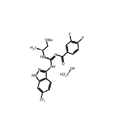 COC[C@H](C)N/C(=N/C(=O)c1ccc(F)c(F)c1)Nc1n[nH]c2cc(C(F)(F)F)ccc12.O=S(=O)(O)O